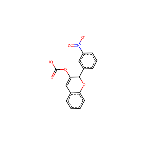 O=C(O)OC1=Cc2ccccc2OC1c1cccc([N+](=O)[O-])c1